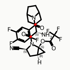 N#C[C@@H]1C[C@@H]2C[C@@]2(OC(=O)C(F)(F)F)N1C(=O)[C@@H](N)C1CC2CCC(C1)N2C(=O)c1cc(F)c(F)cc1F